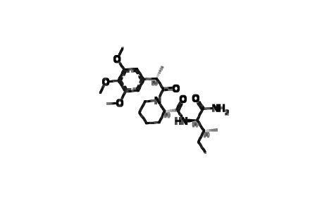 CC[C@@H](C)[C@@H](NC(=O)[C@@H]1CCCCN1C(=O)[C@@H](C)c1cc(OC)c(OC)c(OC)c1)C(N)=O